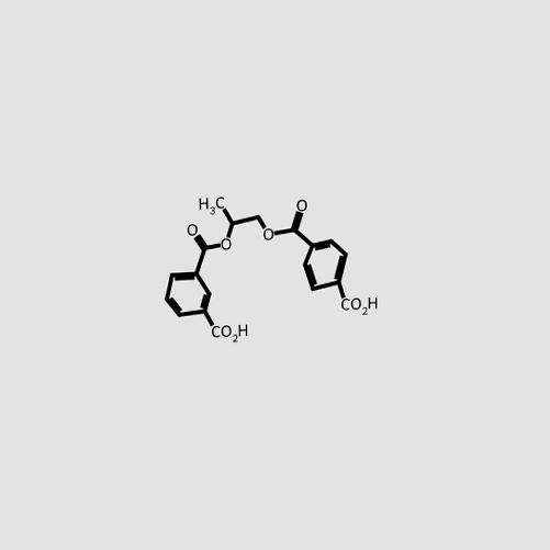 CC(COC(=O)c1ccc(C(=O)O)cc1)OC(=O)c1cccc(C(=O)O)c1